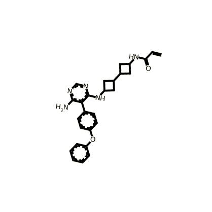 C=CC(=O)NC1CC(C2CC(Nc3ncnc(N)c3-c3ccc(Oc4ccccc4)cc3)C2)C1